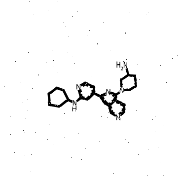 NC1CCCN(c2nc(-c3ccnc(NC4CCCCC4)c3)cc3cnccc23)C1